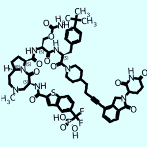 CN1CC[C@H]2CC[C@@H](C(=O)N[C@@H](COC(N)=O)C(=O)N[C@@H](Cc3ccc(C(C)(C)C)cc3)C(=O)N3CCC(CCC#Cc4cccc5c4CN(C4CCC(=O)NC4=O)C5=O)CC3)N2C(=O)[C@@H](NC(=O)c2cc3cc(C(F)(F)P(=O)(O)O)ccc3s2)C1